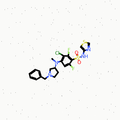 CN(c1cc(F)c(S(=O)(=O)Nc2cscn2)c(F)c1Cl)[C@H]1CCN(Cc2ccccc2)C1